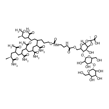 C[C@H](CC(CCC(CCCOC(=O)NCCNC(=O)OCC1O[C@@H]2O[C@@](C)(C(=O)O)OC2[C@@H](O)[C@@H]1O[C@@H]1OC(CO)[C@H](O[C@H]2OC(CO)[C@H](O)[C@H](O)C2O)[C@H](O)C1O)C(CC(CC(CC(CC(C[C@H](C)C(N)=O)C(N)=O)C(N)=O)C(N)=O)C(N)=O)C(N)=O)C(N)=O)C(N)=O